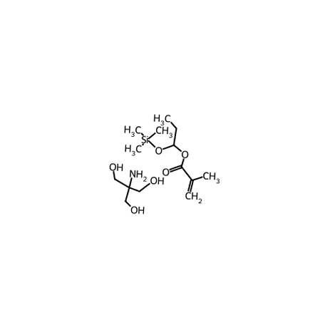 C=C(C)C(=O)OC(CC)O[Si](C)(C)C.NC(CO)(CO)CO